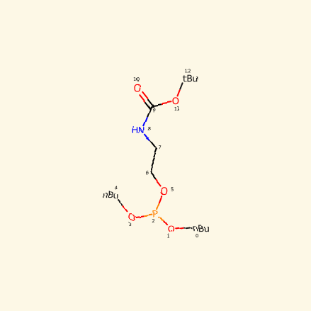 CCCCOP(OCCCC)OCCNC(=O)OC(C)(C)C